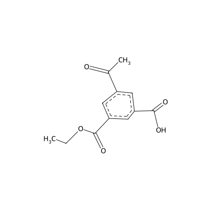 CCOC(=O)c1cc(C(C)=O)cc(C(=O)O)c1